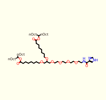 CCCCCCCCC(CCCCCCCC)OC(=O)CCCCCCCOCC(COCCOCCOCCOCCNC(=O)c1c[nH]cn1)OCCCCCCCC(=O)OC(CCCCCCCC)CCCCCCCC